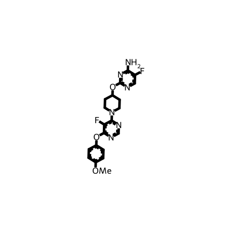 COc1ccc(Oc2ncnc(N3CCC(Oc4ncc(F)c(N)n4)CC3)c2F)cc1